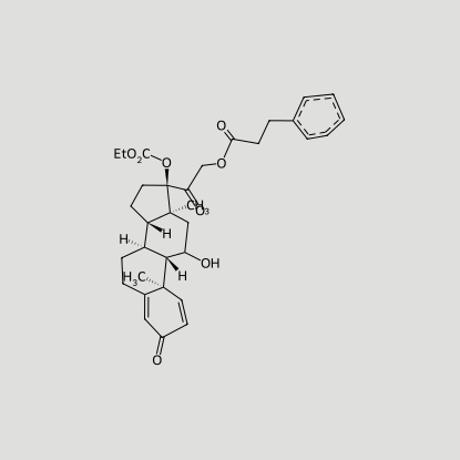 CCOC(=O)O[C@]1(C(=O)COC(=O)CCc2ccccc2)CC[C@H]2[C@@H]3CCC4=CC(=O)C=C[C@]4(C)[C@H]3C(O)C[C@@]21C